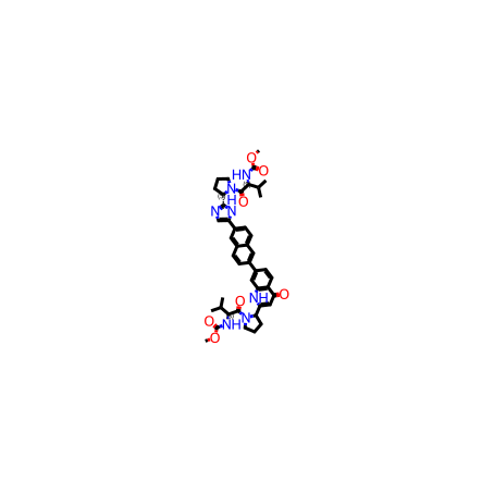 COC(=O)N[C@H](C(=O)N1CCCC1c1cc(=O)c2ccc(-c3ccc4cc(-c5cnc([C@@H]6CCCN6C(=O)[C@@H](NC(=O)OC)C(C)C)[nH]5)ccc4c3)cc2[nH]1)C(C)C